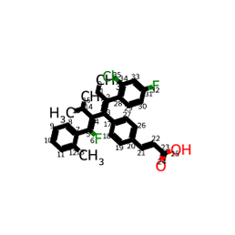 CC/C(=C(\C(=C(/F)c1ccccc1C)C(C)C)c1ccc(/C=C/C(=O)O)cc1)c1ccc(F)cc1Cl